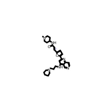 CN1CCC(NC(=O)/C=C/c2ccc(-c3cc(NCCCN4CCCCC4)c4cnccc4n3)o2)CC1